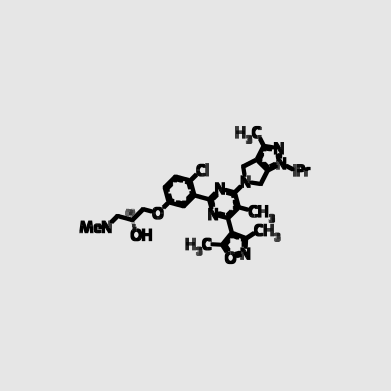 CNC[C@@H](O)COc1ccc(Cl)c(-c2nc(-c3c(C)noc3C)c(C)c(N3Cc4c(C)nn(C(C)C)c4C3)n2)c1